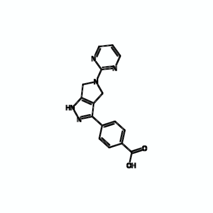 O=C(O)c1ccc(-c2n[nH]c3c2CN(c2ncccn2)C3)cc1